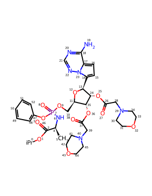 CC(C)OC(=O)[C@H](C)N[P@](=O)(OC[C@H]1O[C@@H](c2ccc3c(N)ncnn23)[C@H](OC(=O)CN2CCOCC2)[C@@H]1OC(=O)CN1CCOCC1)Oc1ccccc1